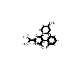 CC1CCN(c2nc(C(C)C)nc(Cl)c2-c2c(F)cccc2Cl)CC1